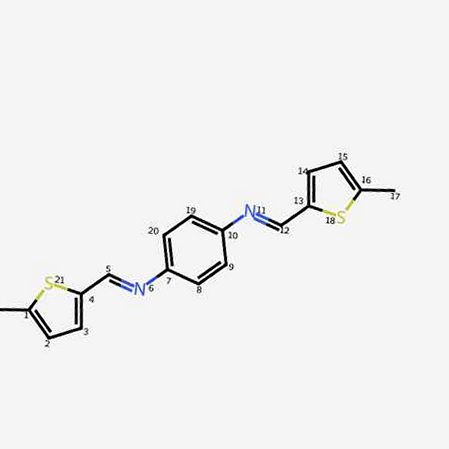 Cc1ccc(/C=N/c2ccc(/N=C/c3ccc(C)s3)cc2)s1